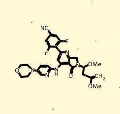 C=C(CC(OC)N1Cc2nc(-c3c(F)cc(C#N)cc3F)cc(Nc3ccc(N4CCOCC4)cn3)c2C1=O)OC